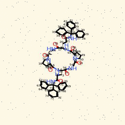 O=C(CC[C@@H]1NC(=O)[C@@H]2CCCN2C(=O)CNC(=O)[C@H](CCC(=O)NC(c2ccccc2)(c2ccccc2)c2ccccc2)NC(=O)[C@@H]2CCCN2C(=O)CNC1=O)NC(c1ccccc1)(c1ccccc1)c1ccccc1